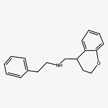 c1ccc(CCNCC2CCOc3ccccc32)cc1